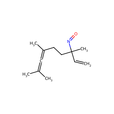 C=CC(C)(CCC(C)=C=C(C)C)N=O